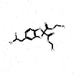 CCOC(=O)C1(C(=O)OCC)Oc2ccc(CC(C)Cl)cc2O1